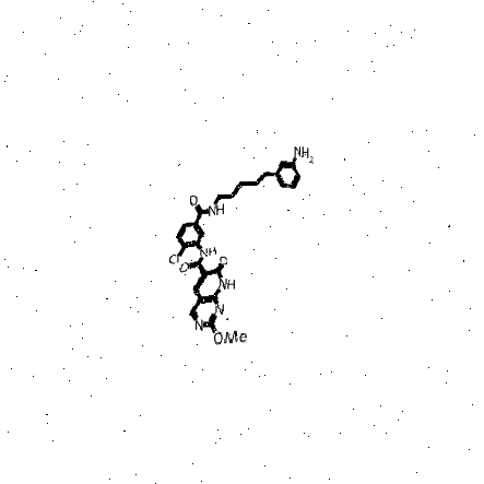 COc1ncc2cc(C(=O)Nc3cc(C(=O)NCCCCCc4cccc(N)c4)ccc3Cl)c(=O)[nH]c2n1